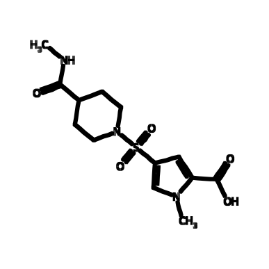 CNC(=O)C1CCN(S(=O)(=O)c2cc(C(=O)O)n(C)c2)CC1